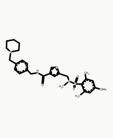 COc1cc(C)c(S(=O)(=O)N(C)Cc2cc(C(=O)NCc3ccc(CN4CCCCC4)cc3)co2)c(C)c1